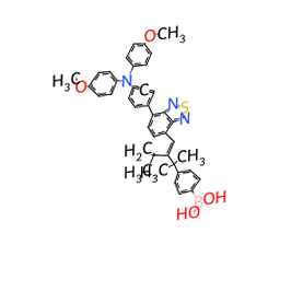 C=C(C)/C(=C\c1ccc(-c2ccc(N(c3ccc(OC)cc3)c3ccc(OC)cc3)cc2)c2nsnc12)C(C)(C)c1ccc(B(O)O)cc1